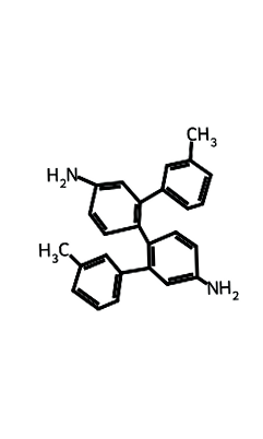 Cc1cccc(-c2cc(N)ccc2-c2ccc(N)cc2-c2cccc(C)c2)c1